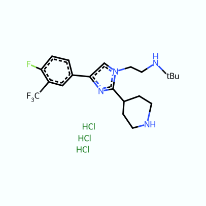 CC(C)(C)NCCn1cc(-c2ccc(F)c(C(F)(F)F)c2)nc1C1CCNCC1.Cl.Cl.Cl